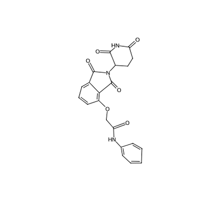 O=C1CCC(N2C(=O)c3cccc(OCC(=O)Nc4ccccc4)c3C2=O)C(=O)N1